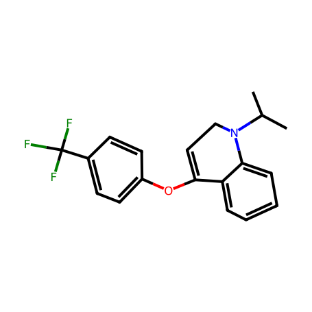 CC(C)N1CC=C(Oc2ccc(C(F)(F)F)cc2)c2ccccc21